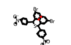 O=[N+]([O-])c1ccc(C(SC(c2ccc([N+](=O)[O-])cc2)c2cccc(Br)c2)c2cccc(Br)c2)cc1